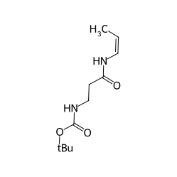 C/C=C\NC(=O)CCNC(=O)OC(C)(C)C